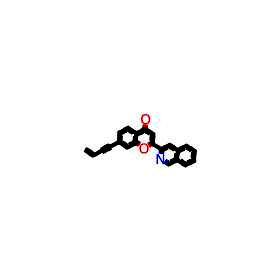 C=CC#Cc1ccc2c(=O)cc(-c3cc4ccccc4cn3)oc2c1